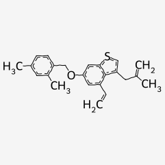 C=Cc1cc(OCc2ccc(C)cc2C)cc2scc(CC(=C)C)c12